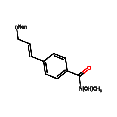 CCCCCCCCCC/C=C/c1ccc(C(=O)N(C)O)cc1